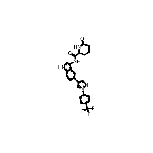 O=C1CCCC(C(=O)Nc2c[nH]c3ccc(-c4cnn(-c5ccc(C(F)(F)F)cc5)c4)cc23)N1